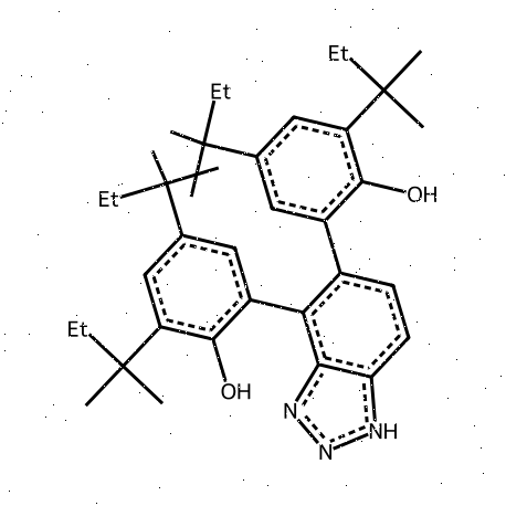 CCC(C)(C)c1cc(-c2ccc3[nH]nnc3c2-c2cc(C(C)(C)CC)cc(C(C)(C)CC)c2O)c(O)c(C(C)(C)CC)c1